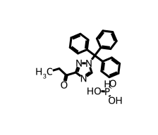 CCC(=O)c1ncn(C(c2ccccc2)(c2ccccc2)c2ccccc2)n1.O=[PH](O)O